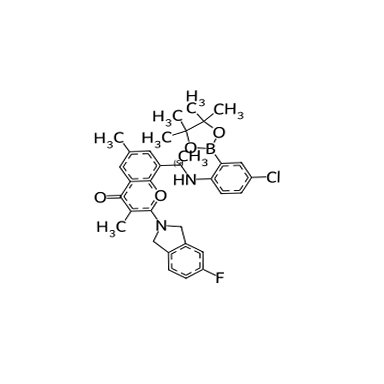 Cc1cc([C@H](C)Nc2ccc(Cl)cc2B2OC(C)(C)C(C)(C)O2)c2oc(N3Cc4ccc(F)cc4C3)c(C)c(=O)c2c1